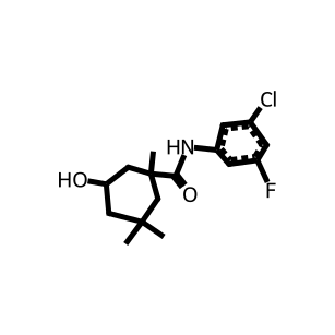 CC1(C)CC(O)CC(C)(C(=O)Nc2cc(F)cc(Cl)c2)C1